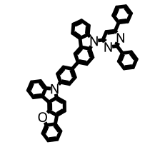 c1ccc(-c2cc(-n3c4ccccc4c4cc(-c5ccc(-n6c7ccccc7c7c8oc9ccccc9c8ccc76)cc5)ccc43)nc(-c3ccccc3)n2)cc1